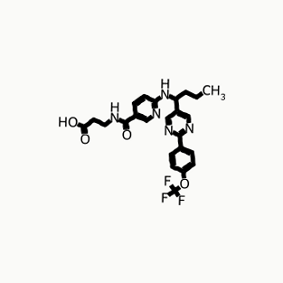 CCCC(Nc1ccc(C(=O)NCCC(=O)O)cn1)c1cnc(-c2ccc(OC(F)(F)F)cc2)nc1